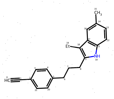 C#Cc1ccc(CCCc2[nH]c3ccc(C)cc3c2CC)cc1